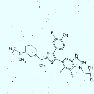 CN(C)C1CCCN(C(O)c2cc(-c3ccc(C#N)c(F)c3)c(-c3cc4c(c(F)c3F)N(CC(C)(C)O)NN4)s2)C1